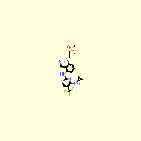 CS(=O)(=O)CCNc1cccc(Nc2ncc(C(F)(F)F)c(NC3CC3)n2)c1C=N